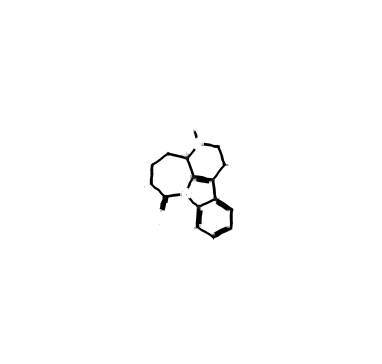 CN1CCc2c3n(c4ccccc24)C(=O)CCCC31